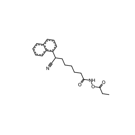 CCC(=O)ONC(=O)CCCCCC(C#N)c1cccc2ccccc12